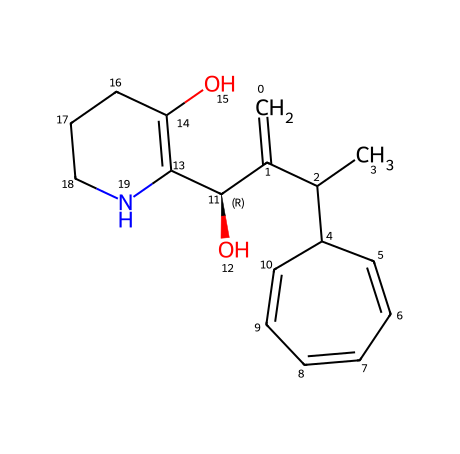 C=C(C(C)C1C=CC=CC=C1)[C@@H](O)C1=C(O)CCCN1